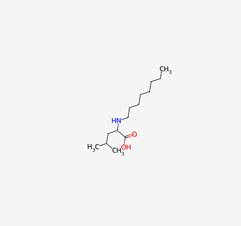 CCCCCCCCNC(CC(C)C)C(=O)O